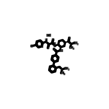 CN(C)Cc1ccccc1-c1ccc(C(=O)N[C@@H]2C[C@@H](C(=O)N(C)C)CC[C@@H]2NC(=O)C(=O)Nc2ccc(Cl)cn2)cc1.Cl